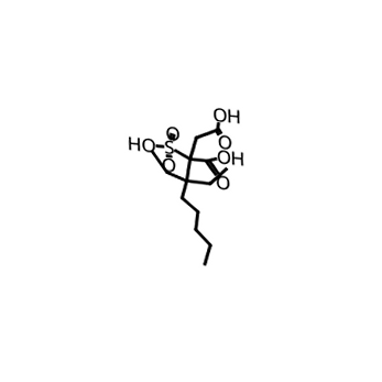 CCCCCC(CC)(CC)C(CC(=O)O)(C(=O)O)S(=O)(=O)O